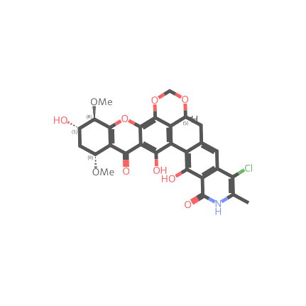 CO[C@@H]1C[C@H](O)[C@@H](OC)c2oc3c4c5c(c(O)c3c(=O)c21)-c1c(cc2c(Cl)c(C)[nH]c(=O)c2c1O)C[C@@H]5OCO4